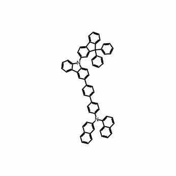 c1ccc(C2(c3ccccc3)c3ccccc3-c3ccc(-n4c5ccccc5c5cc(-c6ccc(-c7ccc(N(c8ccc9ccccc9c8)c8cccc9ccccc89)cc7)cc6)ccc54)cc32)cc1